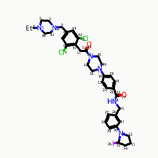 CCN1CCN(Cc2cc(Cl)c(CC(=O)N3CCN(c4ccc(C(=O)NCc5cccc(N6CCCC6I)c5)cc4)CC3)c(Cl)c2)CC1